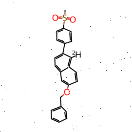 [2H]c1c(-c2ccc(S(C)(=O)=O)cc2)ccc2cc(OCc3ccccc3)ccc12